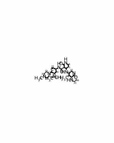 Cc1c(Nc2cc[nH]c(=O)c2C(=O)Nc2ccc(N3CCN(C)CC3)c(N(C)C)c2)cnc2c1NCCO2